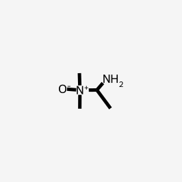 CC(N)[N+](C)(C)[O-]